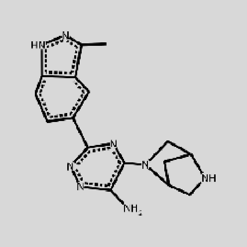 Cc1n[nH]c2ccc(-c3nnc(N)c(N4CC5CC4CN5)n3)cc12